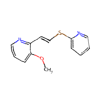 COc1cccnc1/C=C/Sc1ccccn1